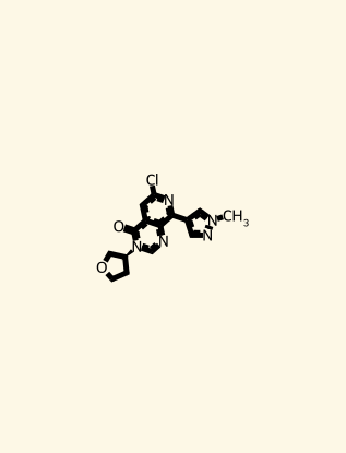 Cn1cc(-c2nc(Cl)cc3c(=O)n([C@H]4CCOC4)cnc23)cn1